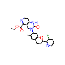 CCOC(=O)c1nccc2c1CN(c1cc3c(cc1C)CCC(c1ncccc1F)O3)C(=O)N2